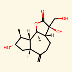 C=C1CC[C@@H]2[C@H](OC(=O)[C@]2(O)CO)[C@H]2[C@H](C)[C@@H](O)C[C@@H]12